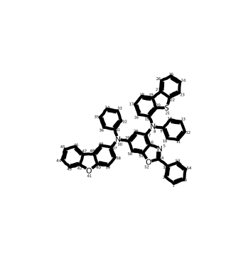 c1ccc(-c2nc3c(N(c4ccccc4)c4cccc5c4sc4ccccc45)cc(N(c4ccccc4)c4ccc5oc6ccccc6c5c4)cc3o2)cc1